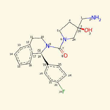 NC[C@@]1(O)CCN(C(=O)N2CCc3ccccc3[C@@H]2c2ccc(F)cc2)C1